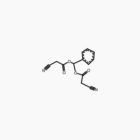 N#CCC(=O)OC(OC(=O)CC#N)c1ccccc1